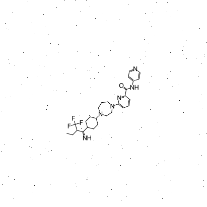 CCC(C(=N)C1CCC(N2CCCN(c3cccc(C(=O)Nc4ccncc4)n3)CC2)CC1)C(F)(F)F